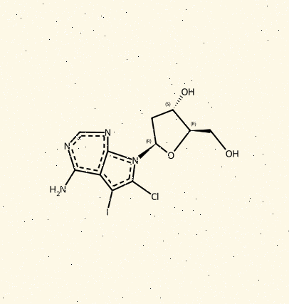 Nc1ncnc2c1c(I)c(Cl)n2[C@H]1C[C@H](O)[C@@H](CO)O1